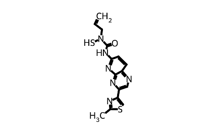 C=CCN(S)C(=O)Nc1ccc2ncc(-c3csc(C)n3)nc2n1